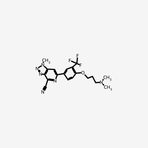 CN(C)CCCOc1ccc(-c2cc3c(nnn3C)c(C#N)n2)cc1C(F)(F)F